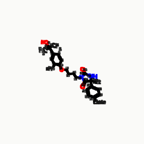 CCCc1cc(C(O)(C(F)(F)F)C(F)(F)F)ccc1OCCCCN1C(=O)NC(CC)(c2ccc(OC)cc2)C1=O